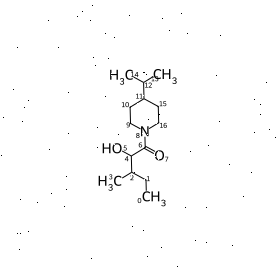 CCC(C)C(O)C(=O)N1CCC(C(C)C)CC1